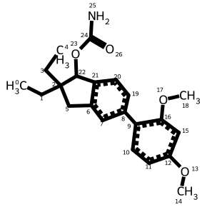 CCC1(CC)Cc2cc(-c3ccc(OC)cc3OC)ccc2C1OC(N)=O